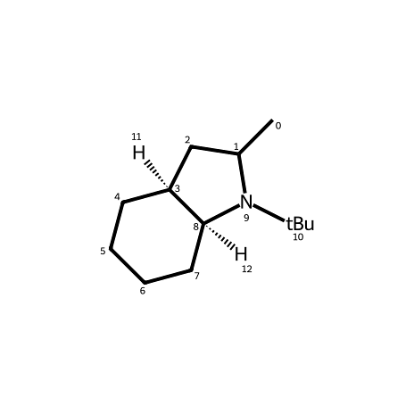 CC1C[C@@H]2CCCC[C@@H]2N1C(C)(C)C